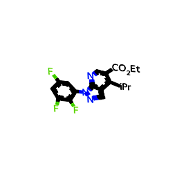 CCOC(=O)c1cnc2c(cnn2-c2cc(F)cc(F)c2F)c1C(C)C